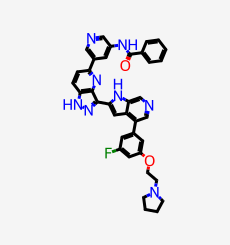 O=C(Nc1cncc(-c2ccc3[nH]nc(-c4cc5c(-c6cc(F)cc(OCCN7CCCC7)c6)cncc5[nH]4)c3n2)c1)c1ccccc1